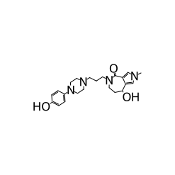 Cn1cc2c(c1)C(O)CCN(CCCN1CCN(c3ccc(O)cc3)CC1)C2=O